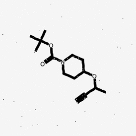 C#CC(C)OC1CCN(C(=O)OC(C)(C)C)CC1